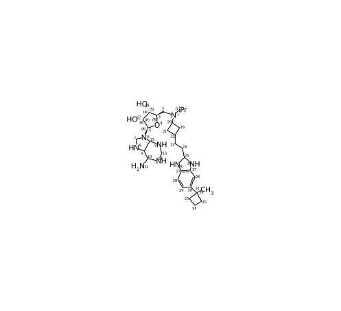 CC(C)N(C[C@H]1O[C@@H](N2CNC3C(N)NCNC32)[C@H](O)[C@@H]1O)C1CC(CCC2Nc3ccc(C4(C)CCC4)cc3N2)C1